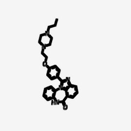 CCCN1CCN(CCOc2ccc(-c3nc4cccc5c4n3-c3ccccc3NC5=O)cc2)CC1